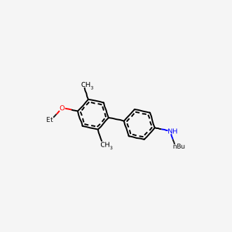 CCCCNc1ccc(-c2cc(C)c(OCC)cc2C)cc1